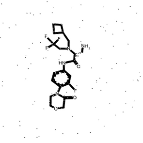 NC[C@H](C(=O)Nc1ccc(N2CCOCC2=O)c(F)c1)N(CC1CCC1)CC(F)(F)F